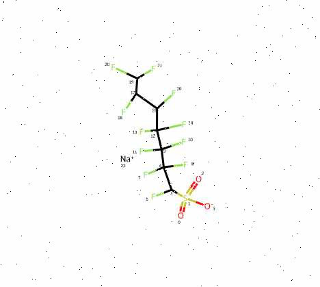 O=S(=O)([O-])C(F)C(F)(F)C(F)(F)C(F)(F)C(F)C(F)C(F)F.[Na+]